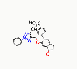 Cc1nn(-c2ccccc2)nc1COc1cc2c(cc1-c1ccc(C(=O)O)cc1)CCC2=O